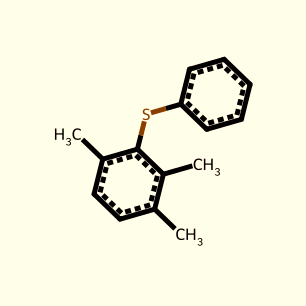 Cc1ccc(C)c(Sc2ccccc2)c1C